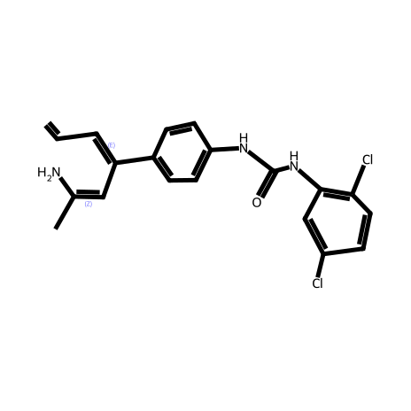 C=C/C=C(\C=C(\C)N)c1ccc(NC(=O)Nc2cc(Cl)ccc2Cl)cc1